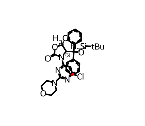 C[C@@H]1OC(=O)N(c2cc(Cl)nc(N3CCOCC3)n2)[C@@H]1C(O[SiH2]C(C)(C)C)(c1ccccc1)c1ccccc1